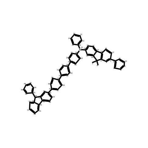 CC1(C)c2cc(-c3ccccc3)ccc2-c2ccc(N(c3ccccc3)c3ccc(-c4ccc(-c5ccc(-c6ccc7c(c6)C(c6ccccc6)c6ccccc6-7)cc5)cc4)cc3)cc21